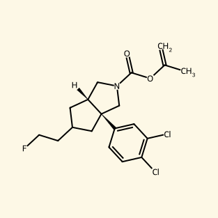 C=C(C)OC(=O)N1C[C@H]2CC(CCF)C[C@@]2(c2ccc(Cl)c(Cl)c2)C1